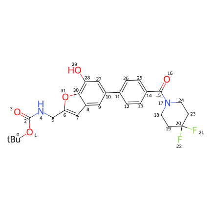 CC(C)(C)OC(=O)NCc1cc2cc(-c3ccc(C(=O)N4CCC(F)(F)CC4)cc3)cc(O)c2o1